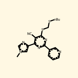 CCCCSCSc1nc(-c2cccnc2)nc(-c2cn(C)cn2)c1C#N